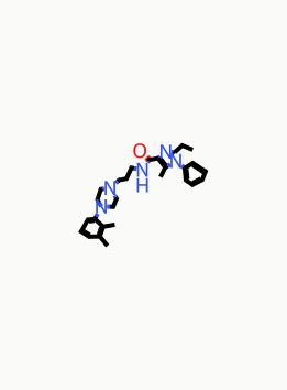 CCc1nc(C(=O)NCCCN2CCN(c3cccc(C)c3C)CC2)c(C)n1-c1ccccc1